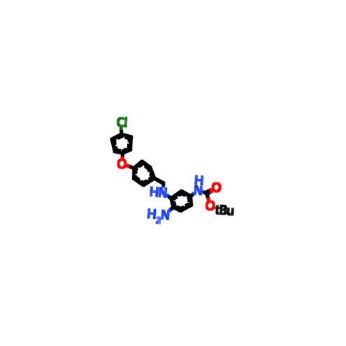 CC(C)(C)OC(=O)Nc1ccc(N)c(NCc2ccc(Oc3ccc(Cl)cc3)cc2)c1